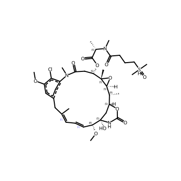 COc1cc2cc(c1Cl)N(C)C(=O)C[C@H](OC(=O)[C@H](C)N(C)C(=O)CCC[SH](C)(C)=O)[C@]1(C)O[C@H]1[C@H](C)[C@@H]1C[C@@](O)(NC(=O)O1)[C@H](OC)/C=C/C=C(\C)C2